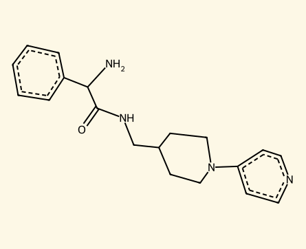 NC(C(=O)NCC1CCN(c2ccncc2)CC1)c1ccccc1